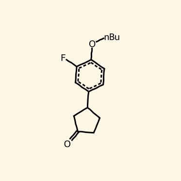 CCCCOc1ccc(C2CCC(=O)C2)cc1F